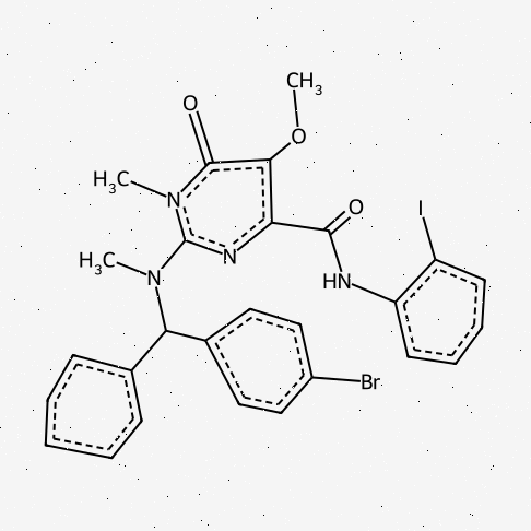 COc1c(C(=O)Nc2ccccc2I)nc(N(C)C(c2ccccc2)c2ccc(Br)cc2)n(C)c1=O